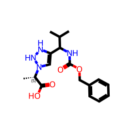 CC(C)C(NC(=O)OCc1ccccc1)C1=CN([C@@H](C)C(=O)O)NN1